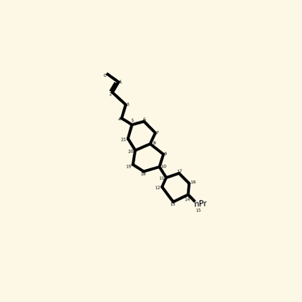 CC=CCCC1CCC2CC(C3CCC(CCC)CC3)CCC2C1